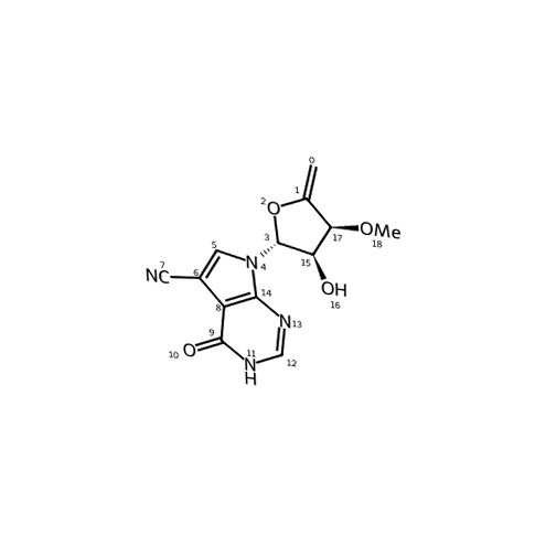 C=C1O[C@@H](n2cc(C#N)c3c(=O)[nH]cnc32)[C@H](O)[C@@H]1OC